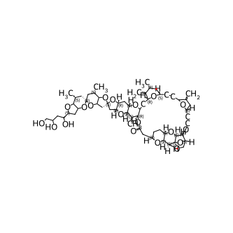 C=C1C[C@@H]2CCO[C@H]3[C@@H]4O[C@H]5CC[C@H](CC(=O)O[C@H]6C(C[C@H]7O[C@@H](CCC1O2)C[C@@H](C)C7=C)O[C@H]1C[C@H]2O[C@@]7(CC8O[C@]9(C[C@H](C)C%10O[C@H](C(O)CC(O)CO)CC%10O9)C[C@H](C)C8O7)C[C@H]2O[C@H]1[C@@H]6C)O[C@@H]5[C@@H]1OC[C@@H]3O[C@@H]14